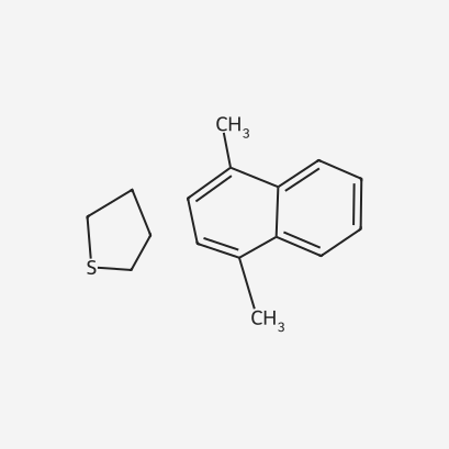 C1CCSC1.Cc1ccc(C)c2ccccc12